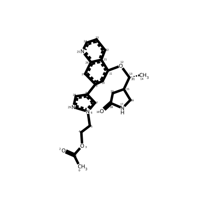 CC(=O)OCCn1cc(-c2cc(O[C@H](C)C3CNC(=O)C3)c3cccnc3c2)cn1